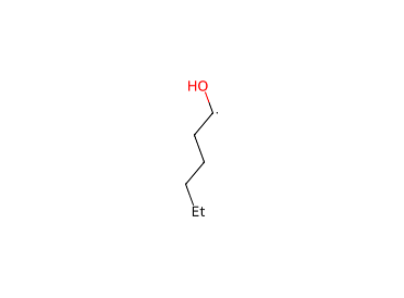 [CH2]CCCC[CH]O